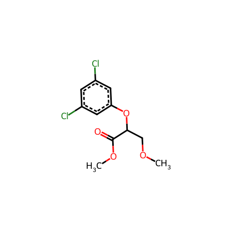 COCC(Oc1cc(Cl)cc(Cl)c1)C(=O)OC